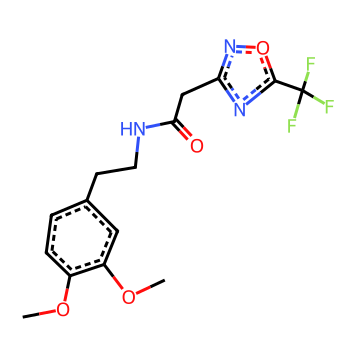 COc1ccc(CCNC(=O)Cc2noc(C(F)(F)F)n2)cc1OC